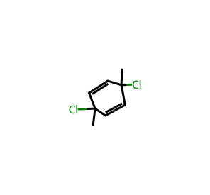 CC1(Cl)C=CC(C)(Cl)C=C1